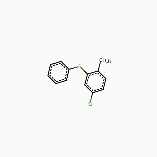 O=C(O)c1ccc(Cl)cc1Sc1ccccc1